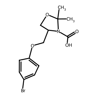 CC1(C)OCC(COc2ccc(Br)cc2)N1C(=O)O